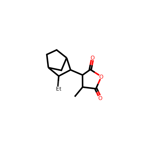 CCC1C2CCC(C2)C1C1C(=O)OC(=O)C1C